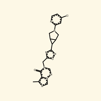 Cc1ncn2ncn(Cc3nc(C4C5CN(c6cc(Cl)ccn6)CC54)no3)c(=O)c12